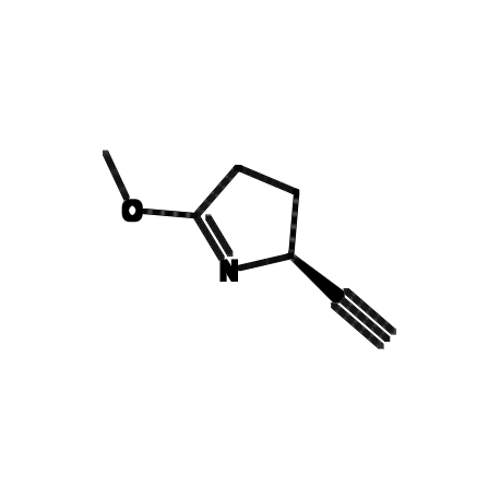 C#C[C@@H]1CCC(OC)=N1